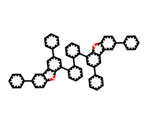 c1ccc(-c2ccc3oc4c(-c5ccccc5-c5ccccc5-c5cc(-c6ccccc6)cc6c5oc5ccc(-c7ccccc7)cc56)cc(-c5ccccc5)cc4c3c2)cc1